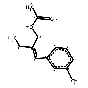 CCC(=Cc1cccc(C)c1)COC(C)=O